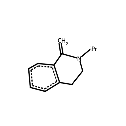 C=C1c2ccccc2CCN1C(C)C